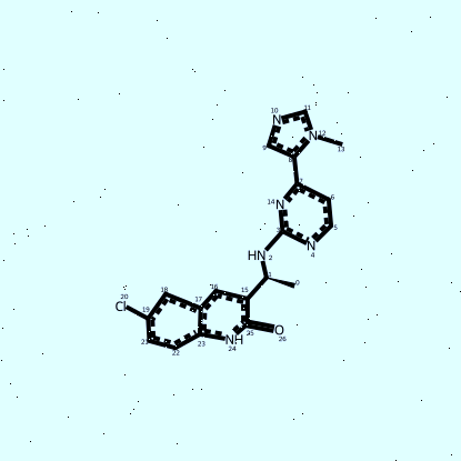 C[C@H](Nc1nccc(-c2cncn2C)n1)c1cc2cc(Cl)ccc2[nH]c1=O